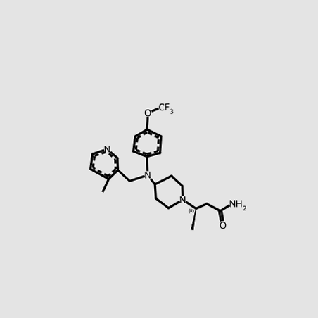 Cc1ccncc1CN(c1ccc(OC(F)(F)F)cc1)C1CCN([C@H](C)CC(N)=O)CC1